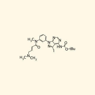 CN(C)C/C=C/C(=O)N(C)c1cccc(-n2nc(I)c3c(NC(=O)OC(C)(C)C)ncnc32)c1